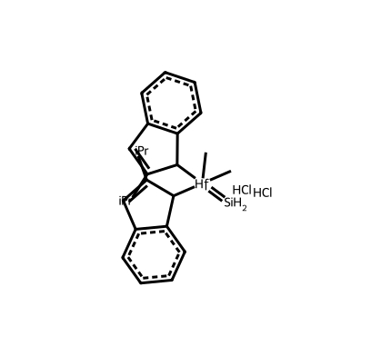 CC(C)C1=Cc2ccccc2[CH]1[Hf]([CH3])([CH3])(=[SiH2])[CH]1C(C(C)C)=Cc2ccccc21.Cl.Cl